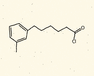 Cc1cccc(CCCCCC(=O)Cl)c1